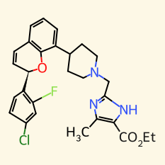 CCOC(=O)c1[nH]c(CN2CCC(c3cccc4c3O[C@@H](c3ccc(Cl)cc3F)C=C4)CC2)nc1C